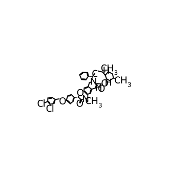 CC1CC[C@H](c2ccccc2)N2Cc3cc4c(cc3C[C@H]2C(=O)O[C@@H]2C[C@H](C)CC[C@@H]12)N(C)C(=O)[C@@H](c1ccc(OCc2ccc(Cl)c(Cl)c2)cc1)O4